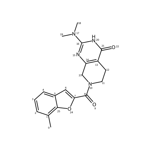 Cc1cccc2cc(C(=O)N3CCc4c(nc(N(C)C)[nH]c4=O)C3)oc12